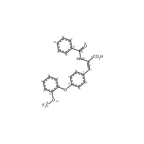 O=C(O)/C(=C/c1ccc(Oc2ccccc2OC(F)(F)F)cc1)NC(=O)c1ccccc1